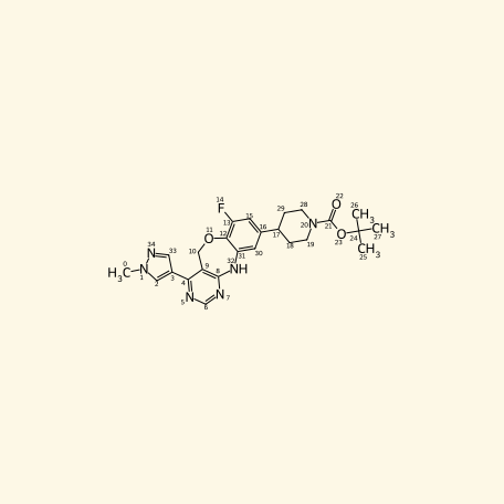 Cn1cc(-c2ncnc3c2COc2c(F)cc(C4CCN(C(=O)OC(C)(C)C)CC4)cc2N3)cn1